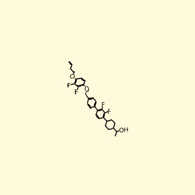 C=CCCOc1ccc(OCc2ccc(-c3ccc(C4CCC(C(C)O)CC4)c(F)c3F)cc2)c(F)c1F